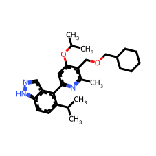 Cc1nc(-c2c(C(C)C)ccc3[nH]ncc23)cc(OC(C)C)c1COCC1CCCCC1